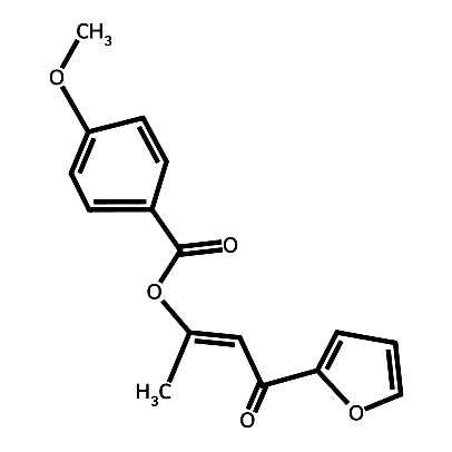 COc1ccc(C(=O)OC(C)=CC(=O)c2ccco2)cc1